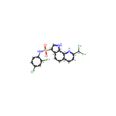 O=S(=O)(Nc1ccc(Cl)cc1F)c1c[nH]c2c1ccc1ccc(C(F)F)nc12